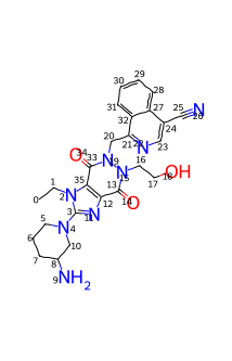 CCn1c(N2CCCC(N)C2)nc2c(=O)n(CCO)n(Cc3ncc(C#N)c4ccccc34)c(=O)c21